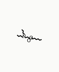 CCCCCCOC(=O)CCN(CCCC)CCCC